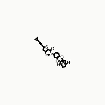 CN1[C@@H]2CC[C@H]1C[C@H](Oc1ccc(-n3cnc4cc(C#CC5CC5)sc4c3=O)cc1Br)C2